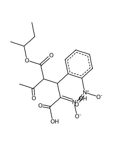 CCC(C)OC(=O)C(C(C)=O)C(C(C(=O)O)=[N+]([O-])O)c1ccccc1[N+](=O)[O-]